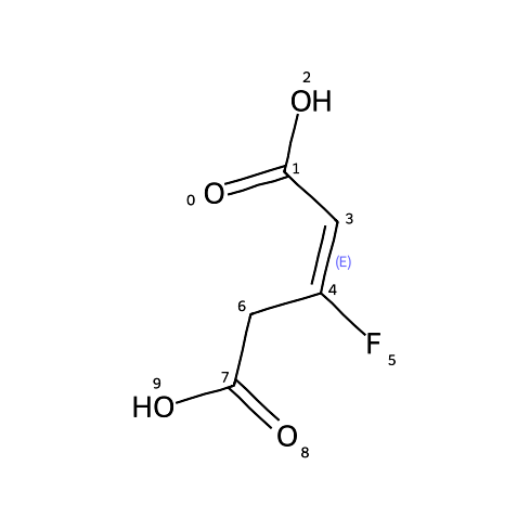 O=C(O)/C=C(/F)CC(=O)O